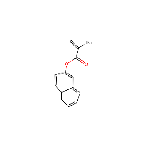 C=C(C(=O)Oc1ccc2ccccc2c1)C(C)(C)C